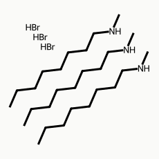 Br.Br.Br.CCCCCCCCNC.CCCCCCCCNC.CCCCCCCCNC